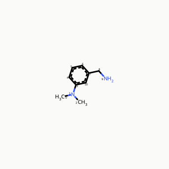 CN(C)c1cccc(CN)c1